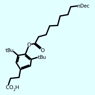 CCCCCCCCCCCCCCCCCC(=O)Oc1c(C(C)(C)C)cc(CCC(=O)O)cc1C(C)(C)C